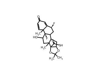 CC1(C)OC2CC3C4C[C@H](F)C5=CC(=O)C=CC5(C)[C@@]4(F)C(O)CC3(C)C2(C(=O)S)O1